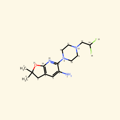 CC1(C)Cc2cc(N)c(N3CCN(CC(F)F)CC3)nc2O1